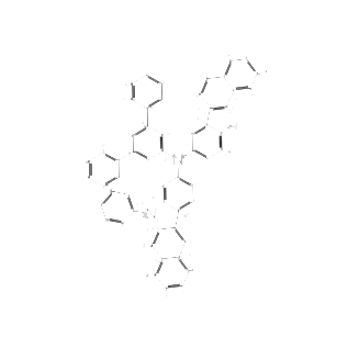 c1ccc(-c2cc(-c3ccccc3)cc(N(c3ccc4sc5c6ccccc6ccc5c4c3)c3ccc4c5cc6ccccc6cc5n(-c5ccccc5)c4c3)c2)cc1